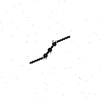 CCCCCCCCCCCCOc1ccc(C#Cc2ccc(C#Cc3ccc(OCCCCCCCCCCCC)c(F)c3)c(F)c2)cc1F